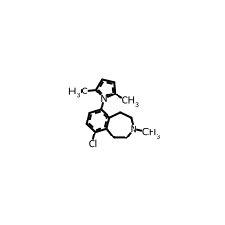 Cc1ccc(C)n1-c1ccc(Cl)c2c1CCN(C)CC2